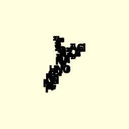 O=C(NCc1nc(C(F)(F)F)no1)c1cc(-c2ccc(Cl)cc2)c(OCC2CC2)cn1